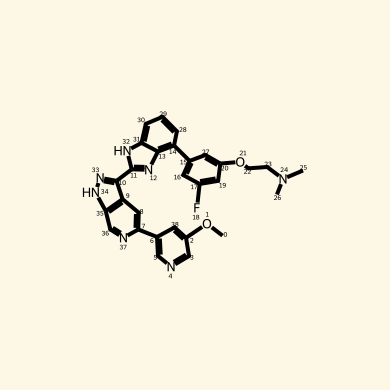 COc1cncc(-c2cc3c(-c4nc5c(-c6cc(F)cc(OCCN(C)C)c6)cccc5[nH]4)n[nH]c3cn2)c1